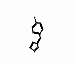 Clc1ccc(C=C2[C]=CC=C2)cc1